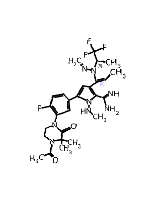 C=NN(/C(=C\C)c1cc(-c2ccc(F)c(N3CCN(C(C)=O)C(C)(C)C3=O)c2)n(NC)c1C(=N)N)[C@H](C)C(F)(F)F